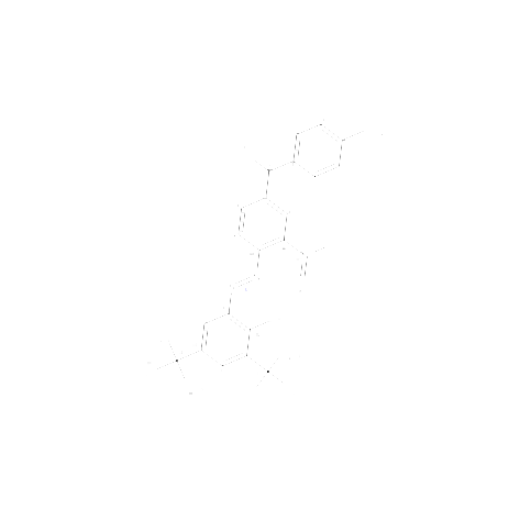 Cc1ccc(C(C)c2ccc(/N=N/c3cc(C(C)(C)C)cc(C(C)(C)C)c3O)c([N+](=O)[O-])c2)cc1